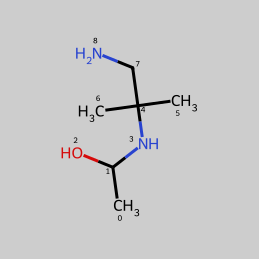 CC(O)NC(C)(C)CN